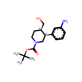 CC(C)(C)OC(=O)N1CC[C@@H](CO)[C@@H](c2cccc(N)c2)C1